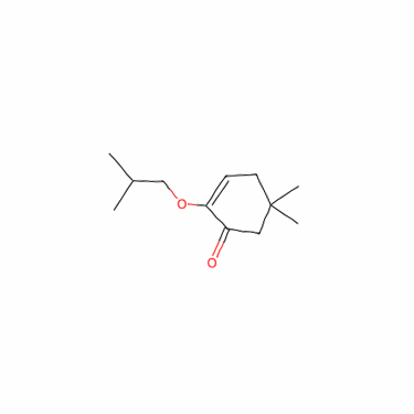 CC(C)COC1=CCC(C)(C)CC1=O